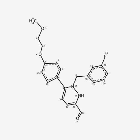 COCCOc1ncc(C2=CC=C(C=O)NN2Cc2cncc(F)c2)cn1